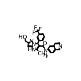 CC1=C(C(=O)Nc2ccc3cnccc3c2)C(c2cccc(C(F)(F)F)c2)n2nc(CO)cc2N1